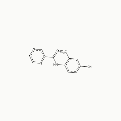 N#Cc1ccc(NC(=O)c2cnccn2)c(C(=O)O)c1